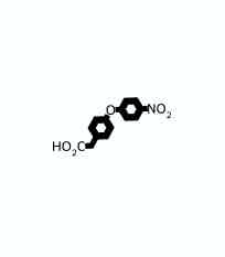 O=C(O)Cc1ccc(Oc2ccc([N+](=O)[O-])cc2)cc1